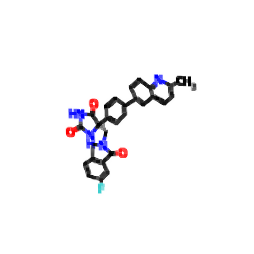 Cc1ccc2cc(-c3ccc([C@@]4(CN5Cc6ccc(F)cc6C5=O)NC(=O)NC4=O)cc3)ccc2n1